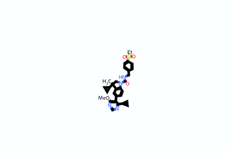 CCS(=O)(=O)c1ccc(CNC(=O)N2CC(C)(C3CC3)c3cc(-c4c(OC)ncnc4C4CC4)ccc32)cc1